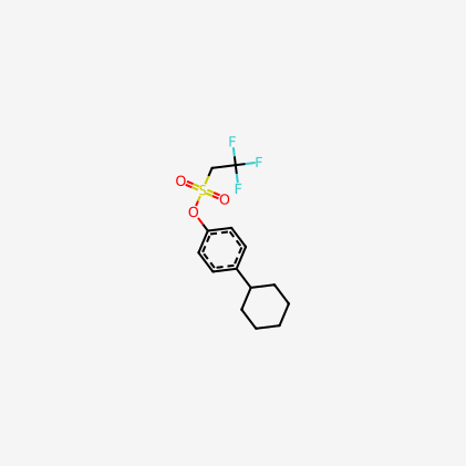 O=S(=O)(CC(F)(F)F)Oc1ccc(C2CCCCC2)cc1